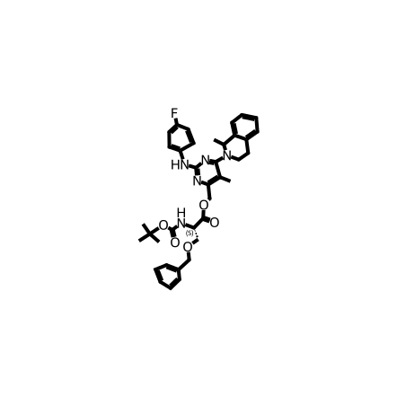 Cc1c(COC(=O)[C@H](COCc2ccccc2)NC(=O)OC(C)(C)C)nc(Nc2ccc(F)cc2)nc1N1CCc2ccccc2C1C